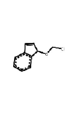 ClCOC1C=Cc2cc[c]cc21